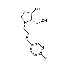 OC[C@H]1[C@H](O)CCN1C/C=C/c1ccc(F)nc1